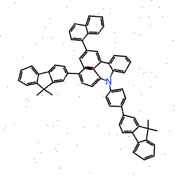 CC1(C)c2ccccc2-c2ccc(-c3ccc(N(c4ccc(-c5ccc6c(c5)C(C)(C)c5ccccc5-6)cc4)c4ccccc4-c4cccc(-c5cccc6ccccc56)c4)cc3)cc21